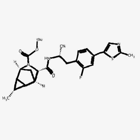 Cc1ncc(-c2ccc(C[C@@H](C#N)NC(=O)[C@@H]3[C@@H]4C[C@@H](C5C4[C@@H]5C)N3C(=O)OC(C)(C)C)c(F)c2)s1